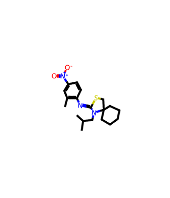 Cc1cc([N+](=O)[O-])ccc1N=C1SCC2(CCCCC2)N1CC(C)C